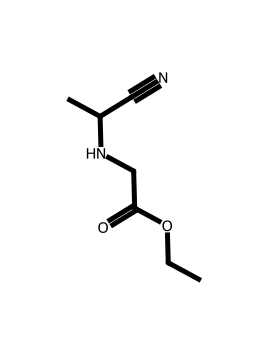 CCOC(=O)CNC(C)C#N